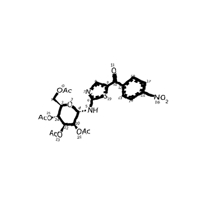 CC(=O)OC[C@H]1O[C@H](Nc2ncc(C(=O)c3ccc([N+](=O)[O-])cc3)s2)[C@@H](OC(C)=O)[C@@H](OC(C)=O)[C@@H]1OC(C)=O